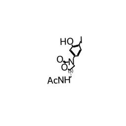 CC(=O)NC[C@H]1CN(c2ccc(I)c(O)c2)C(=O)O1